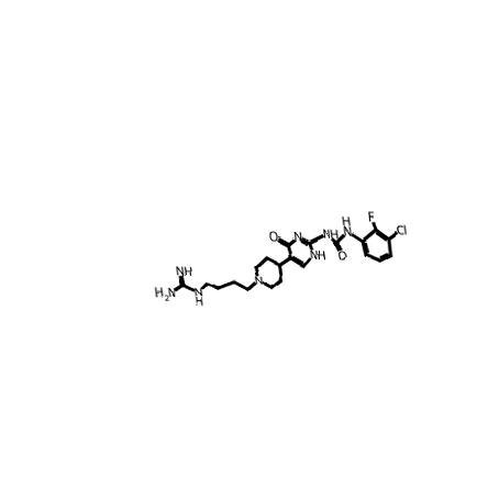 N=C(N)NCCCCN1CCC(c2c[nH]c(NC(=O)Nc3cccc(Cl)c3F)nc2=O)CC1